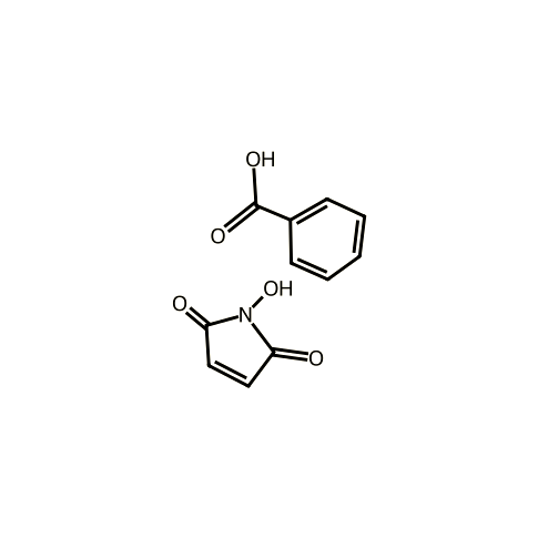 O=C(O)c1ccccc1.O=C1C=CC(=O)N1O